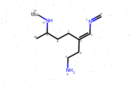 C=N/C=C(/CCN)CCC(C)NC(C)(C)C